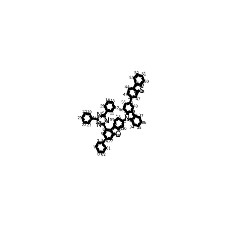 c1ccc(-c2cc(-c3nc(-c4ccccc4)nc(-c4ccccc4)n3)c3c(c2)oc2cc(-n4c5ccccc5c5cc(-c6ccc7c(c6)sc6ccccc67)ccc54)ccc23)cc1